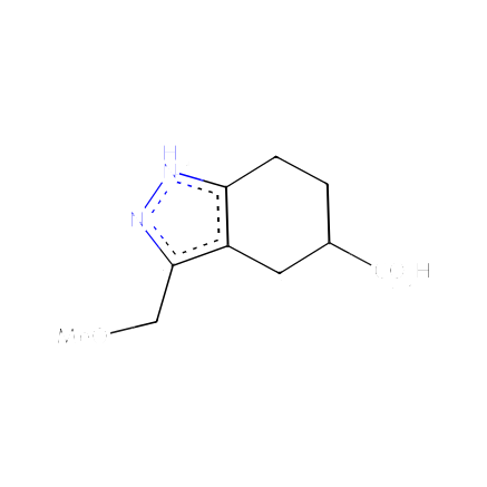 COCc1n[nH]c2c1CC(C(=O)O)CC2